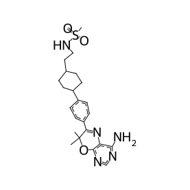 CC1(C)Oc2ncnc(N)c2N=C1c1ccc(C2CCC(CCNS(C)(=O)=O)CC2)cc1